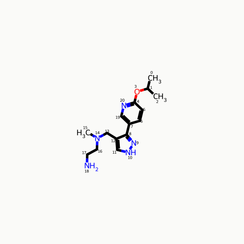 CC(C)Oc1ccc(-c2n[nH]cc2CN(C)CCN)cn1